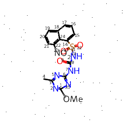 COc1nc(C)nc(NC(=O)NS(=O)(=O)c2cccc3cccc([N+](=O)[O-])c23)n1